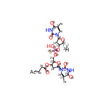 [2H]C[C@H]1O[C@@H](n2cc(C)c(=O)[nH]c2=O)CC1OP(O)(=S)OC[C@H]1O[C@@H](n2cc(C)c(=O)[nH]c2=O)CC1OC(=O)CCC(C)=O